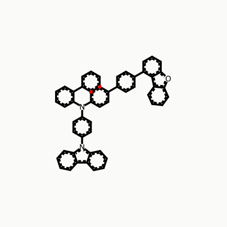 c1ccc(-c2ccccc2N(c2ccc(-c3ccc(-c4cccc5oc6ccccc6c45)cc3)cc2)c2ccc(-n3c4ccccc4c4ccccc43)cc2)cc1